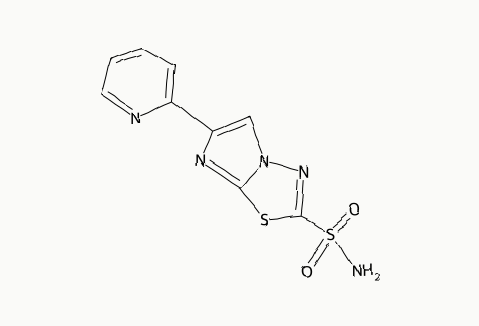 NS(=O)(=O)c1nn2cc(-c3ccccn3)nc2s1